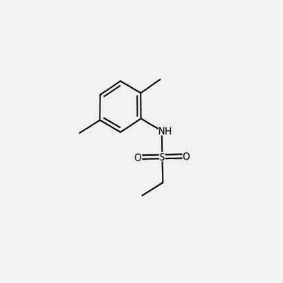 CCS(=O)(=O)Nc1cc(C)ccc1C